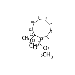 COC(=O)C1CCCCCCCC1C(=O)Cl